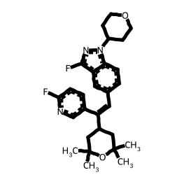 CC1(C)CC(C(=Cc2ccc3c(c2)c(F)nn3C2CCOCC2)c2ccc(F)nc2)CC(C)(C)O1